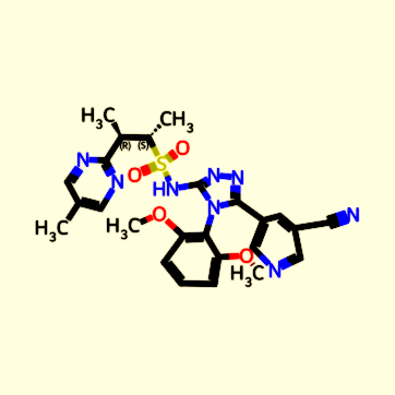 COc1cccc(OC)c1-n1c(NS(=O)(=O)[C@@H](C)[C@H](C)c2ncc(C)cn2)nnc1-c1cncc(C#N)c1